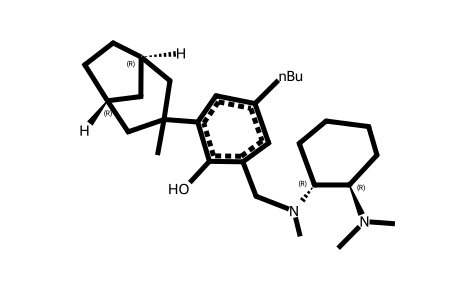 CCCCc1cc(CN(C)[C@@H]2CCCC[C@H]2N(C)C)c(O)c(C2(C)C[C@@H]3CC[C@H](C3)C2)c1